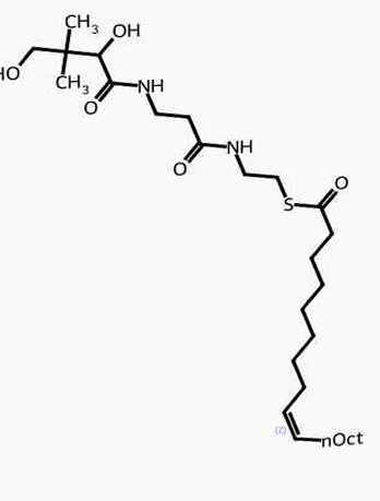 CCCCCCCC/C=C\CCCCCCCC(=O)SCCNC(=O)CCNC(=O)C(O)C(C)(C)CO